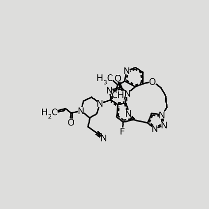 C=CC(=O)N1CCN(c2nc(=O)n3c4nc(c(F)cc24)-c2cn(nn2)CCCOc2ccnc(C(C)C)c2-3)CC1CC#N